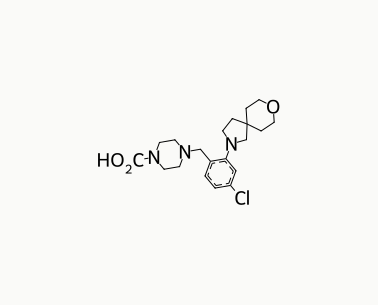 O=C(O)N1CCN(Cc2ccc(Cl)cc2N2CCC3(CCOCC3)C2)CC1